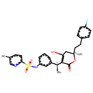 CCC[C@@]1(CCc2ccc(F)cc2)CC(O)=C([C@H](c2cccc(NS(=O)(=O)c3ccc(C#N)cn3)c2)C(C)(C)C)C(=O)O1